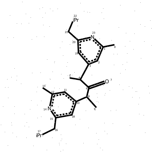 Cc1cc(C(C)C(=O)C(C)c2cc(C)nc(CC(C)C)c2)cc(CC(C)C)n1